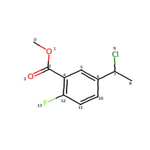 COC(=O)c1cc(C(C)Cl)ccc1F